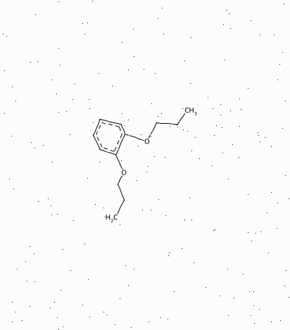 [CH2]CCOc1ccccc1OCCC